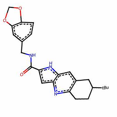 CC(C)(C)C1CCc2nc3cc(C(=O)NCc4ccc5c(c4)OCO5)[nH]c3cc2C1